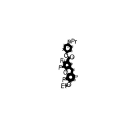 CCCC1CCC(OC(=O)c2cc3c(c(F)c2F)Oc2c(ccc(OCC)c2F)C3)CC1